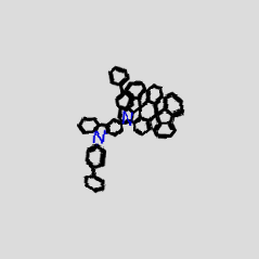 C1=CCCC(c2ccc(-n3c4c(c5cc(N(c6ccc(-c7ccccc7)cc6)c6cccc7c6C6(c8ccccc8C8C=CC=CC86)c6ccccc6C76c7ccccc7-c7ccccc76)ccc53)C=CCC4)cc2)=C1